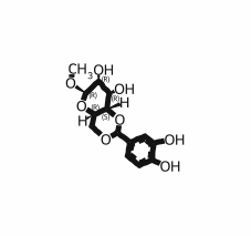 CO[C@@H]1O[C@@H]2COC(c3ccc(O)c(O)c3)O[C@H]2[C@H](O)[C@H]1O